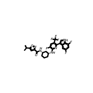 CC(C)c1cc(C(=O)N[C@H]2CCC[C@@H](Nc3nc(-c4c[nH]c5c(F)cc(F)cc45)c(C(F)(F)F)cc3F)C2)no1